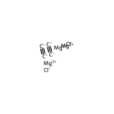 [C-]#[C-].[C-]#[C-].[Cl-].[Cl-].[Mg+2].[Mg+2].[Mg+2]